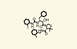 Cc1ccccc1CNC(=O)[C@H]1N(C(=O)[C@@H](O)[C@H](Cc2ccccc2)NC(=O)Nc2ccccc2I)CSC1(C)C